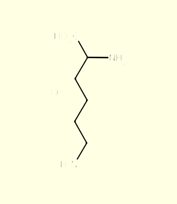 NCCCCC(N)C(=O)O.[Cr]